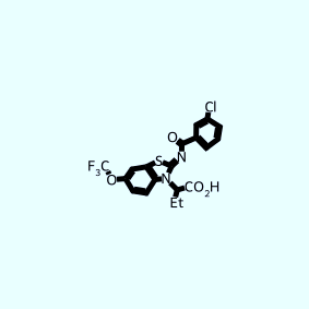 CCC(C(=O)O)n1/c(=N/C(=O)c2cccc(Cl)c2)sc2cc(OC(F)(F)F)ccc21